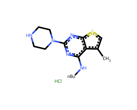 CCCCNc1nc(N2CCNCC2)nc2scc(C)c12.Cl